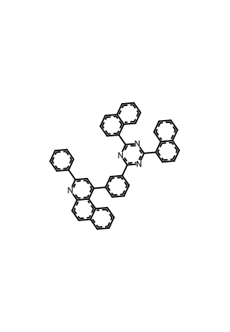 c1ccc(-c2cc(-c3cccc(-c4nc(-c5cccc6ccccc56)nc(-c5cccc6ccccc56)n4)c3)c3c(ccc4ccccc43)n2)cc1